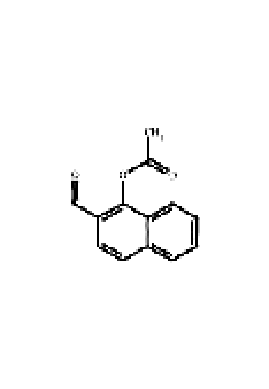 CC(=O)Oc1c(C=O)ccc2ccccc12